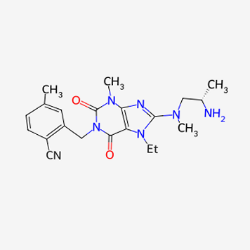 CCn1c(N(C)C[C@H](C)N)nc2c1c(=O)n(Cc1cc(C)ccc1C#N)c(=O)n2C